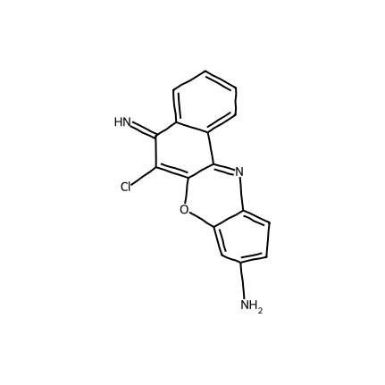 N=c1c(Cl)c2oc3cc(N)ccc3nc-2c2ccccc12